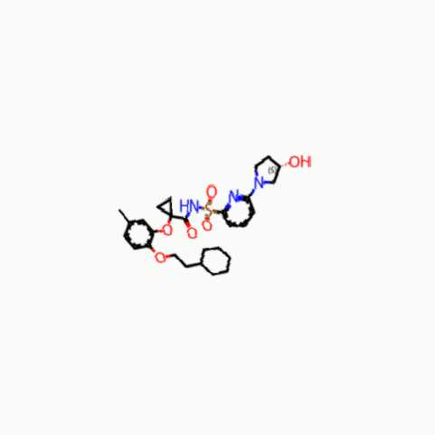 Cc1ccc(OCCC2CCCCC2)c(OC2(C(=O)NS(=O)(=O)c3cccc(N4CC[C@H](O)C4)n3)CC2)c1